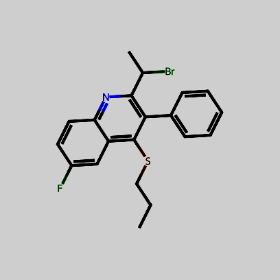 CCCSc1c(-c2ccccc2)c(C(C)Br)nc2ccc(F)cc12